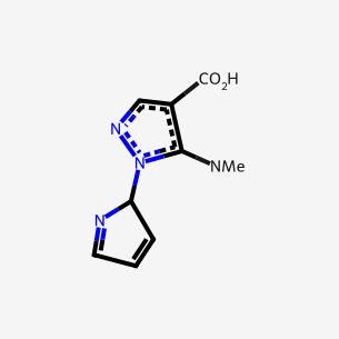 CNc1c(C(=O)O)cnn1C1C=CC=N1